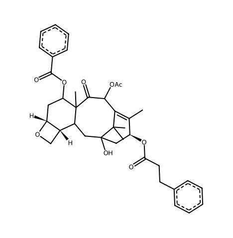 CC(=O)OC1C(=O)C2(C)C(OC(=O)c3ccccc3)C[C@H]3OC[C@H]3C2CC2(O)C[C@H](OC(=O)CCc3ccccc3)C(C)=C1C2(C)C